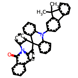 CC1(C)c2ccccc2-c2ccc(N3c4ccccc4C4(c5ccccc53)c3ccccc3-n3c(=O)c5ccccc5c5cccc4c53)cc21